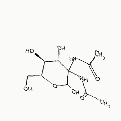 CC(=O)NC1(NC(C)=O)C(O)O[C@H](CO)[C@@H](O)[C@@H]1O